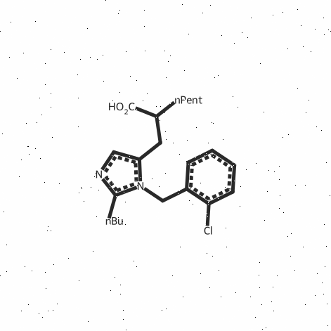 CCCCCC(Cc1cnc(CCCC)n1Cc1ccccc1Cl)C(=O)O